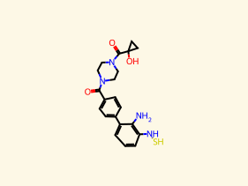 Nc1c(NS)cccc1-c1ccc(C(=O)N2CCN(C(=O)C3(O)CC3)CC2)cc1